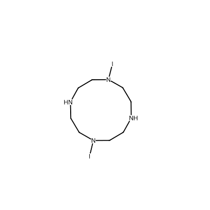 IN1CCNCCN(I)CCNCC1